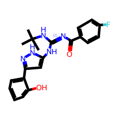 CC(C)(C)N/C(=N/C(=O)c1ccc(F)cc1)Nc1cc(-c2ccccc2O)n[nH]1